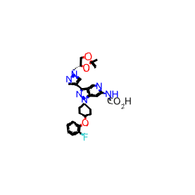 CC1(C)OC[C@@H](Cn2cc(-c3nn(C4CCC(Oc5ccccc5F)CC4)c4cc(NC(=O)O)ncc34)cn2)O1